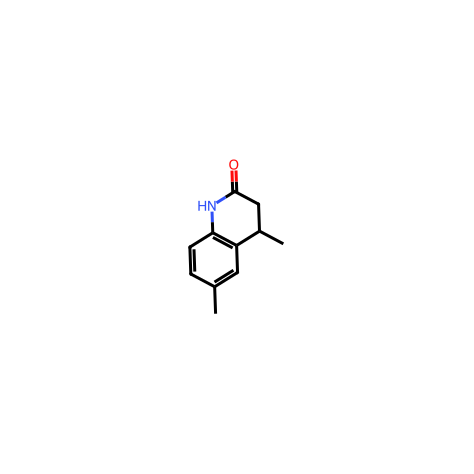 Cc1ccc2c(c1)C(C)CC(=O)N2